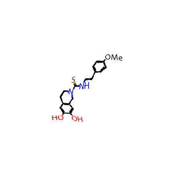 COc1ccc(CCNC(=S)N2CCc3cc(O)c(O)cc3C2)cc1